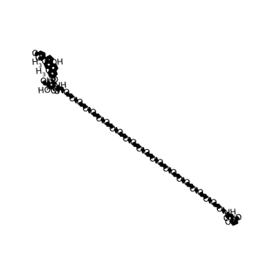 C[C@]12CC[C@H](O[C@@H]3OC(CO)[C@@H](O)[C@H](O)C3NC(=O)CCOCCOCCOCCOCCOCCOCCOCCOCCOCCOCCOCCOCCOCCOCCOCCOCCOCCOCCOCCOCCOCCOCCOCCOCCNC(=O)CN3C(=O)C=CC3=O)C=C1CCC1C2CC[C@]2(C)[C@@H](c3ccc(=O)oc3)CC[C@]12O